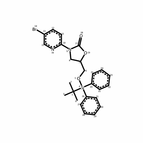 CC(C)(C)[Si](OCC1CN(c2ccc(Br)cn2)C(=O)O1)(c1ccccc1)c1ccccc1